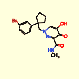 CNC(=O)c1nn(CC2(c3cccc(Br)c3)CCCC2)cc(O)c1=O